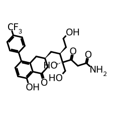 NC(=O)CC(=O)[C@@](O)(CO)[C@H](CCO)C[C@H]1CC(=O)c2c(O)ccc(-c3ccc(C(F)(F)F)cc3)c2C1